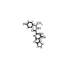 C[C@@H](NC(=O)c1nc2sc3c(c2c(=O)[nH]1)CCC3)c1ccc(F)cc1